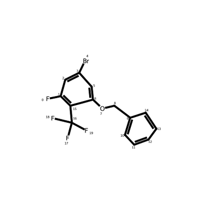 Fc1cc(Br)cc(OCc2ccccc2)c1C(F)(F)F